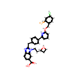 O=C(O)c1ccc2nc(Cc3ccc(-c4cccc(OCc5ccc(Cl)cc5P)n4)cc3)n(CC[C@@H]3CCO3)c2c1